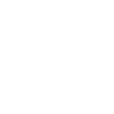 Cc1csc(C(=O)N/N=C/c2ccc(Cl)c(C(F)(F)F)c2)c1NC(=O)c1cccc(CN(CC(C)O)CC(C)O)c1